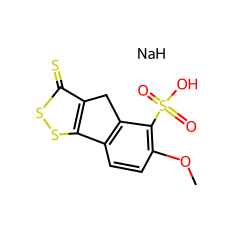 COc1ccc2c(c1S(=O)(=O)O)Cc1c-2ssc1=S.[NaH]